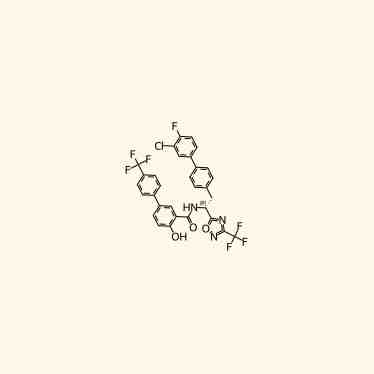 O=C(N[C@H](Cc1ccc(-c2ccc(F)c(Cl)c2)cc1)c1nc(C(F)(F)F)no1)c1cc(-c2ccc(C(F)(F)F)cc2)ccc1O